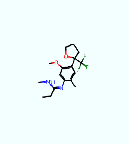 CCC(=Nc1cc(OC)c(C2(C(F)(F)F)CCCO2)cc1C)NC